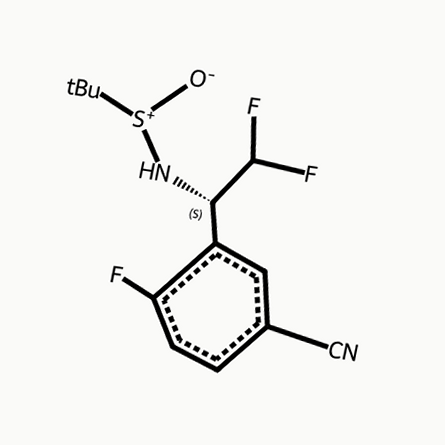 CC(C)(C)[S+]([O-])N[C@@H](c1cc(C#N)ccc1F)C(F)F